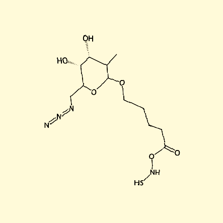 CC1C(OCCCCC(=O)ONS)OC(CN=[N+]=[N-])[C@H](O)[C@@H]1O